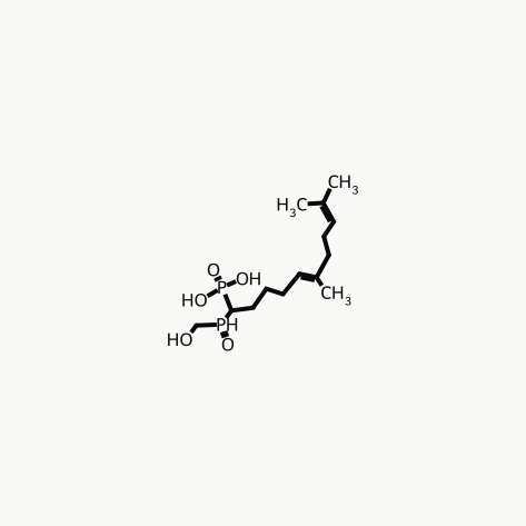 CC(C)=CCCC(C)=CCCCC([PH](=O)CO)P(=O)(O)O